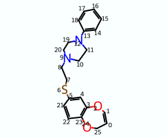 C1=COc2cc(SCCN3CCN(c4ccccc4)CC3)ccc2OC1